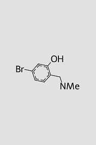 CNCc1ccc(Br)cc1O